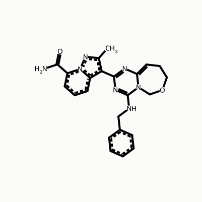 Cc1nn2c(C(N)=O)cccc2c1C1=NC2=CCCOCN2C(NCc2ccccc2)=N1